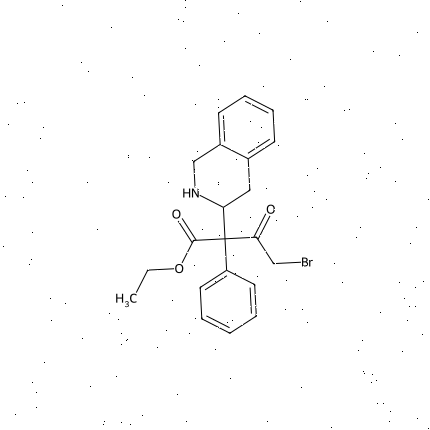 CCOC(=O)C(C(=O)CBr)(c1ccccc1)C1Cc2ccccc2CN1